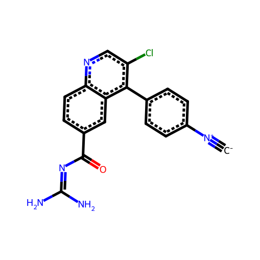 [C-]#[N+]c1ccc(-c2c(Cl)cnc3ccc(C(=O)N=C(N)N)cc23)cc1